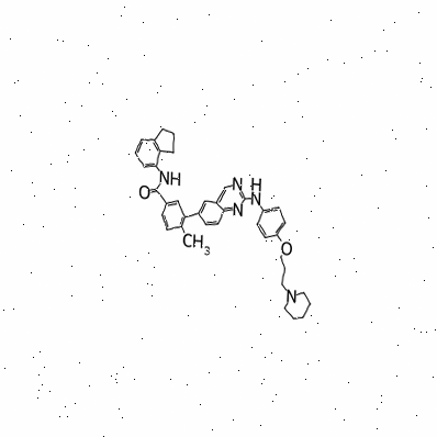 Cc1ccc(C(=O)Nc2cccc3c2CCC3)cc1-c1ccc2nc(Nc3ccc(OCCCN4CCCCC4)cc3)ncc2c1